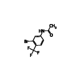 CC(=O)Nc1ccc(C(F)(F)F)c(Br)c1